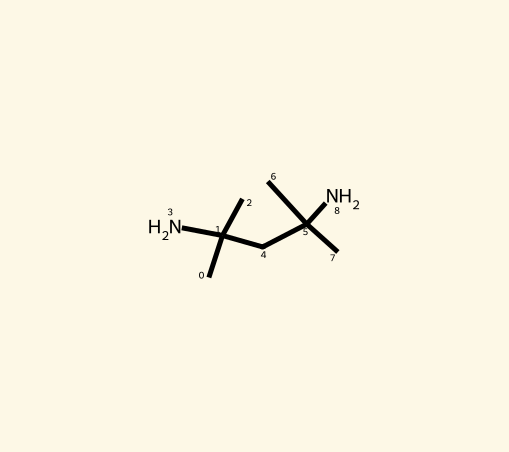 CC(C)(N)CC(C)(C)N